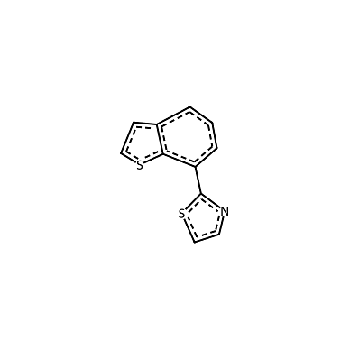 c1cc(-c2nccs2)c2sccc2c1